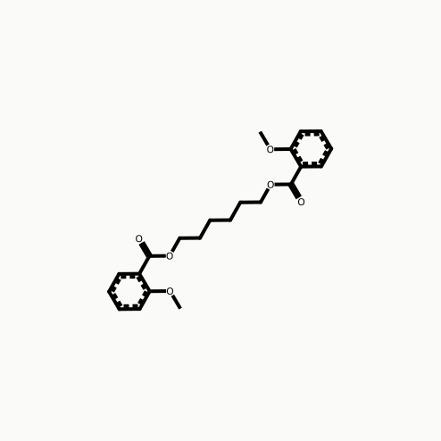 COc1ccccc1C(=O)OCCCCCCOC(=O)c1ccccc1OC